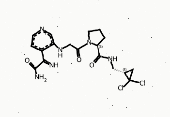 N=C(C(N)=O)c1ccncc1NCC(=O)N1CCC[C@H]1C(=O)NC[C@@H]1CC1(Cl)Cl